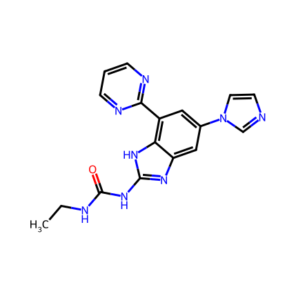 CCNC(=O)Nc1nc2cc(-n3ccnc3)cc(-c3ncccn3)c2[nH]1